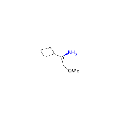 COC[C@H](N)C1CCC1